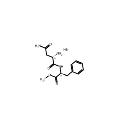 Br.COC(=O)[C@H](Cc1ccccc1)NC(=O)[C@@H](N)CC(N)=O